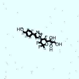 C[C@H]1[C@H]([C@H](O)[C@H](O)CO)OC(C)(F)C(F)[C@@H]1n1cc(-c2ccc(CO)cc2)nn1